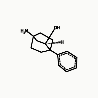 NC12CCC(c3ccccc3)(CC1)[C@H](O)C2